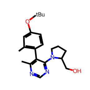 Cc1cc(OC(C)(C)C)ccc1-c1c(C)ncnc1N1CCCC1CO